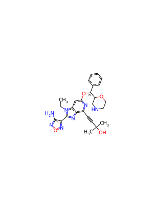 CCn1c(-c2nonc2N)nc2c(C#CC(C)(C)O)nc(O[C@H](c3ccccc3)C3CNCCO3)cc21